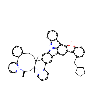 C=C1CC2(C)[n+]3ccccc3-c3cc4c5cc6c(oc7cccc(CC8CCCC8)c76)c6c7ccccc7n(c4cc3C2(C)CCc2ccccc2-c2cccc[n+]21)c56